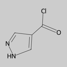 O=C(Cl)c1cn[nH]c1